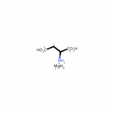 NC(CC(=O)O)C(=O)O.[MgH2]